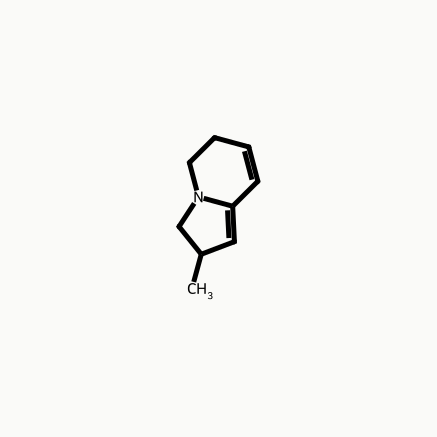 CC1C=C2C=CCCN2C1